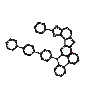 c1ccc(-c2ccc(-c3ccc(N(c4ccc5oc6ccc7nc(-c8ccccc8)oc7c6c5c4)c4ccccc4-c4ccccc4)cc3)cc2)cc1